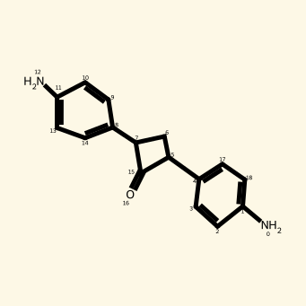 Nc1ccc(C2CC(c3ccc(N)cc3)C2=O)cc1